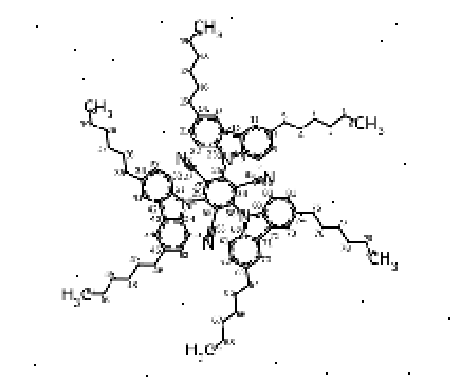 CCCCCCc1ccc2c(c1)c1cc(CCCCCC)ccc1n2-c1c(C#N)c(-n2c3ccc(CCCCCC)cc3c3cc(CCCCCC)ccc32)c(C#N)c(-n2c3ccc(CCCCCC)cc3c3cc(CCCCCC)ccc32)c1C#N